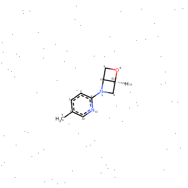 Cc1ccc(N2C[C@@H]3OCC32)nc1